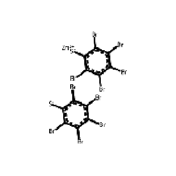 [S-]c1c(Br)c(Br)c(Br)c(Br)c1Br.[S-]c1c(Br)c(Br)c(Br)c(Br)c1Br.[Zn+2]